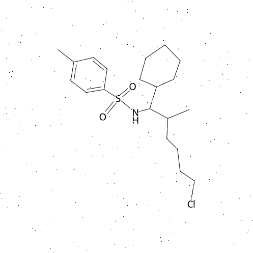 Cc1ccc(S(=O)(=O)NC(C(C)CCCCCl)C2CCCCC2)cc1